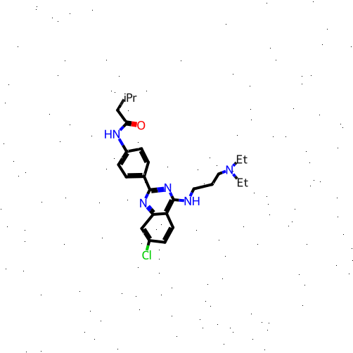 CCN(CC)CCCNc1nc(-c2ccc(NC(=O)CC(C)C)cc2)nc2cc(Cl)ccc12